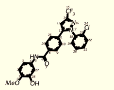 COc1ccc(NC(=O)c2ccc(-c3cc(C(F)(F)F)nn3-c3ccccc3Cl)cc2)cc1O